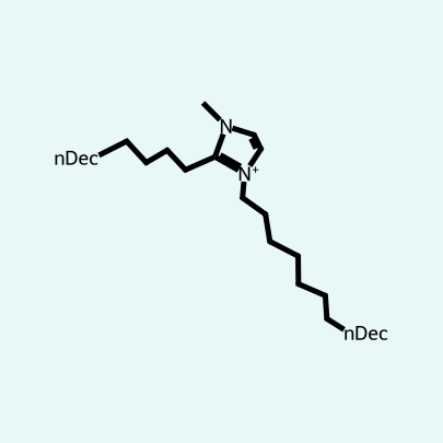 CCCCCCCCCCCCCCCCC[n+]1ccn(C)c1CCCCCCCCCCCCCC